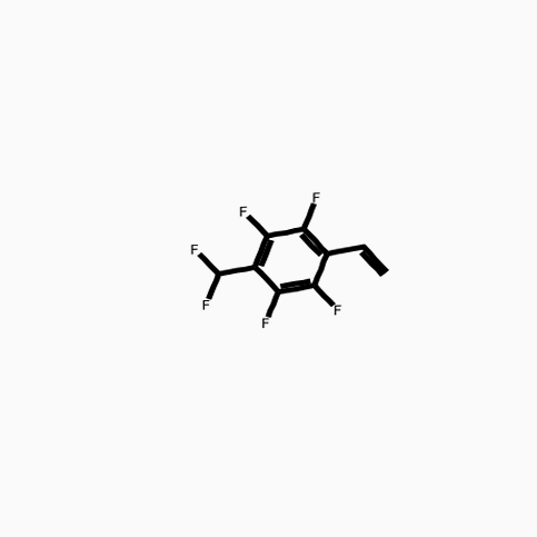 C=Cc1c(F)c(F)c(C(F)F)c(F)c1F